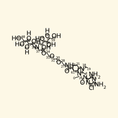 CCn1c(CN(C=O)c2nc(Cl)c(N)nc2N)[n+](CC)c2ccc(C(=O)NCCOCCOCCOCCN(C[C@H](O)[C@@H](O)[C@H](O)[C@H](O)CO)C[C@H](O)[C@@H](O)[C@H](O)[C@H](O)CO)cc21